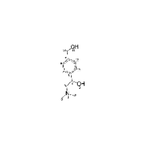 CN(C)CC(O)c1ccc(CO)cc1